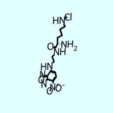 N[C@@H](CCCCNCl)C(=O)NCCNc1ccc([N+](=O)[O-])c2nonc12